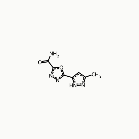 Cc1cc(-c2nnc(C(N)=O)o2)[nH]n1